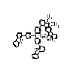 CC1(C)c2ccccc2-c2cc3c(cc21)-c1c(-c2ccc(N(c4ccc(-c5cccc6c5oc5ccccc56)cc4)c4ccc(-c5cccc6c5oc5ccccc56)cc4)cc2)cccc1C3(C)C